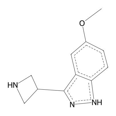 COc1ccc2[nH]nc(C3CNC3)c2c1